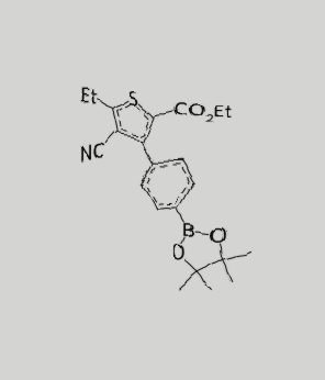 CCOC(=O)c1sc(CC)c(C#N)c1-c1ccc(B2OC(C)(C)C(C)(C)O2)cc1